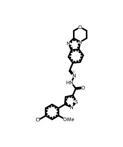 COc1cc(Cl)ccc1-c1cc(C(=O)N/N=C/c2ccc3c(c2)nc2n3CCOC2)sn1